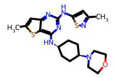 Cc1cc(Nc2nc(N[C@H]3CC[C@H](N4CCOCC4)CC3)c3sc(C)cc3n2)sn1